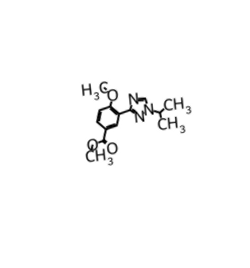 COC(=O)c1ccc(OC)c(-c2ncn(C(C)C)n2)c1